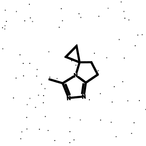 Cc1nnc2n1C1(CC2)CC1